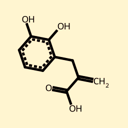 C=C(Cc1cccc(O)c1O)C(=O)O